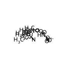 CCCCCCC(C#N)(CCCN(C)C(C)c1ccc(OCC(=O)NCCO[N+](=O)[O-])cc1)c1cc(OC)c(OC)c(OC)c1